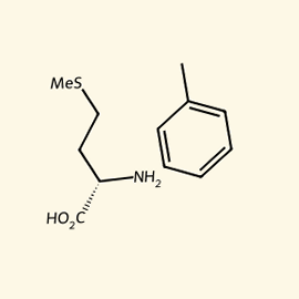 CSCC[C@H](N)C(=O)O.Cc1ccccc1